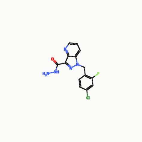 NNC(=O)c1nn(Cc2ccc(Cl)cc2F)c2cccnc12